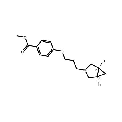 COC(=O)c1ccc(OCCCN2C[C@H]3C[C@H]3C2)cc1